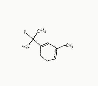 CC1=CCCC(C(C)(C)F)=C1